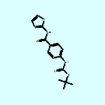 CC(C)(C)OC(=O)Nc1ccc(C(=O)Nc2nccs2)cc1